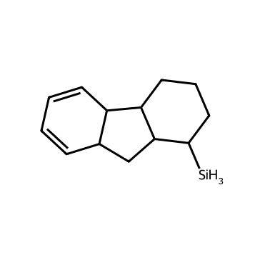 [SiH3]C1CCCC2C3C=CC=CC3CC12